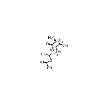 C=CC(=O)O.CC(O)CO.CC(O)OC(C)O